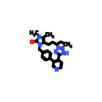 CCCCCc1c(C)n(C)c(=O)n1Cc1ccc(-c2cnccc2-c2nnn[nH]2)cc1